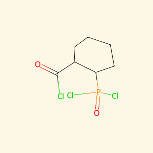 O=C(Cl)C1CCCCC1P(=O)(Cl)Cl